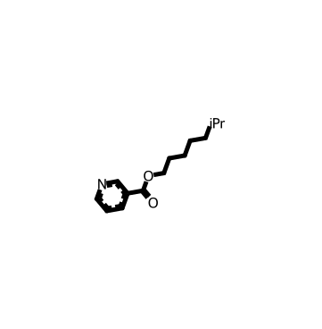 CC(C)CCCCCOC(=O)c1cccnc1